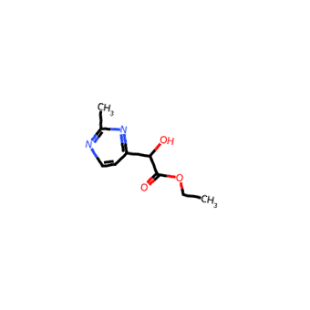 CCOC(=O)C(O)c1ccnc(C)n1